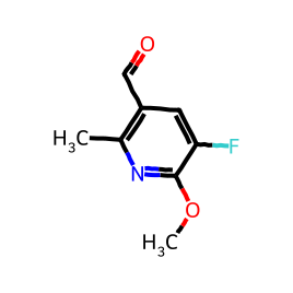 COc1nc(C)c(C=O)cc1F